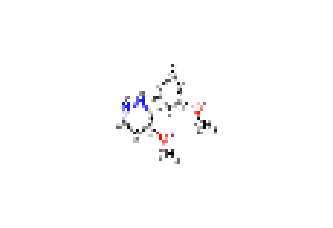 COc1ccc2cc1-2.COc1ccnnc1